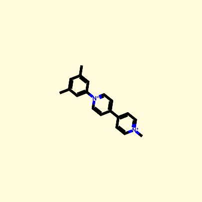 Cc1cc(C)cc(-[n+]2ccc(-c3cc[n+](C)cc3)cc2)c1